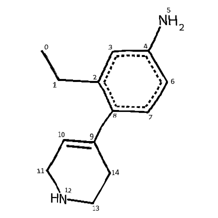 CCc1cc(N)ccc1C1=CCNCC1